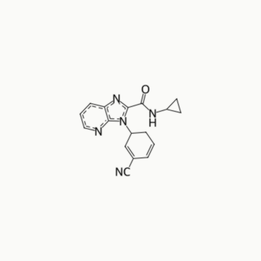 N#CC1=CC(n2c(C(=O)NC3CC3)nc3cccnc32)CC=C1